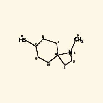 CN1CCC12CCC(S)CC2